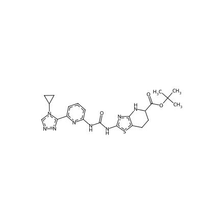 CC(C)(C)OC(=O)C1CCc2sc(NC(=O)Nc3cccc(-c4nncn4C4CC4)n3)nc2N1